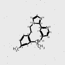 COc1cc(C)ccc1CCn1ccnc1-c1cc(Br)ccn1